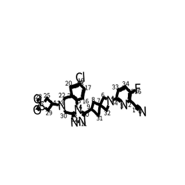 N#Cc1nc(N2CC3(CC(c4nnc5n4-c4ccc(Cl)cc4CN(C4CS(=O)(=O)C4)C5)C3)C2)ccc1F